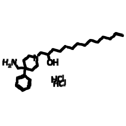 CCCCCCCCCCCCC(O)CN1CCC(CN)(c2ccccc2)CC1.Cl.Cl